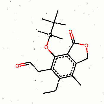 CCc1c(C)c2c(c(O[Si](C)(C)C(C)(C)C)c1CC=O)C(=O)OC2